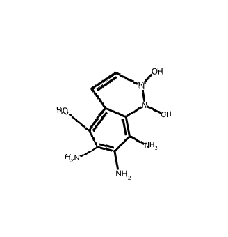 Nc1c(N)c(O)c2c(c1N)N(O)N(O)C=C2